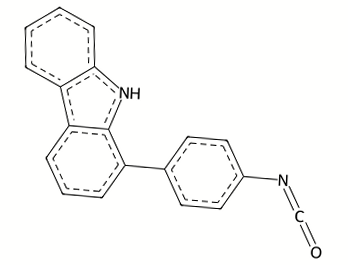 O=C=Nc1ccc(-c2cccc3c2[nH]c2ccccc23)cc1